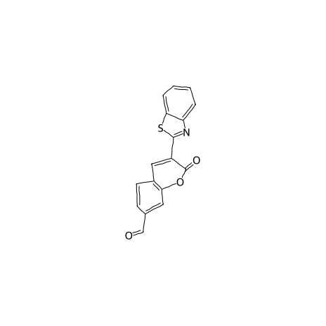 O=Cc1ccc2cc(-c3nc4ccccc4s3)c(=O)oc2c1